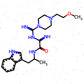 COCCN1CCN(C(=N)NC(=N)C(=O)NC(C)Cc2c[nH]c3ccccc23)CC1